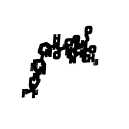 C[C@@H](C(=O)Nc1cccc(-c2cnc(N3CC4C(C3)C4(F)F)nc2)n1)n1cnc2c1c(=O)n(CC=O)c(=O)n2C